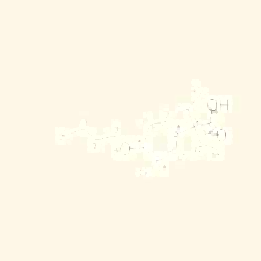 CCCCOc1ccc(C(CC)(CC)C(=O)O)cc1C